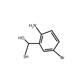 Nc1ccc(Br)cc1C(O)S